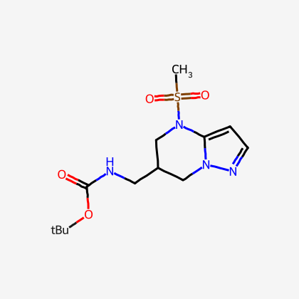 CC(C)(C)OC(=O)NCC1CN(S(C)(=O)=O)c2ccnn2C1